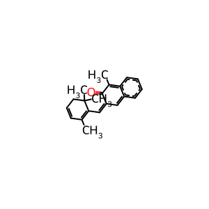 CC1=C(/C=C2/C=c3ccccc3=C(C)C2=O)C(C)(C)CC=C1